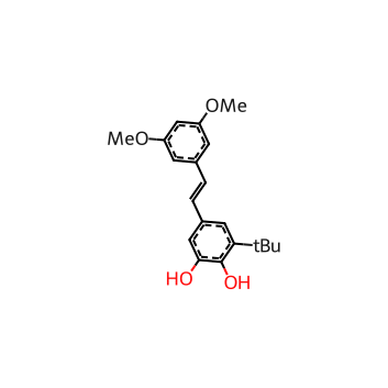 COc1cc(C=Cc2cc(O)c(O)c(C(C)(C)C)c2)cc(OC)c1